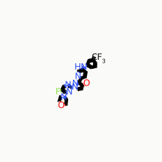 O=c1ccn(-c2ncc(F)c(N3CCOCC3)n2)nc1-c1ccc(Nc2cccc(C(F)(F)F)c2)cn1